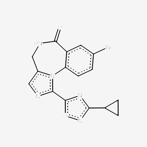 O=C1NCc2cnc(-c3nc(C4CC4)no3)n2-c2ccc(Br)cc21